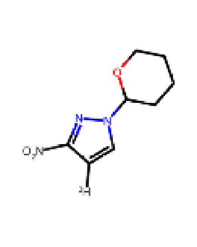 [2H]c1cn(C2CCCCO2)nc1[N+](=O)[O-]